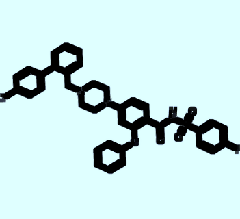 O=C(NS(=O)(=O)c1ccc(F)cc1)c1ccc(N2CCN(Cc3ccccc3-c3ccc(Cl)cc3)CC2)cc1Oc1ccccc1